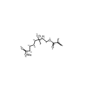 C=C(C)C(=O)OCCC(C)(CSCCC(=O)OC)C(=O)O